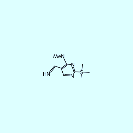 CNc1nc(S(C)(C)C)ncc1C=N